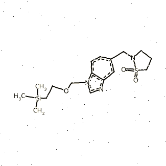 C[Si](C)(C)CCOCn1cnc2cc(CN3CCCS3(=O)=O)ccc21